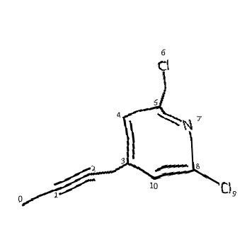 CC#Cc1cc(Cl)nc(Cl)c1